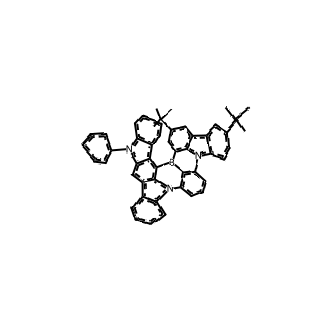 CC(C)(C)c1ccc2c(c1)c1cc(C(C)(C)C)cc3c1n2-c1cccc2c1B3c1c3c4ccccc4n(-c4ccccc4)c3cc3c4ccccc4n-2c13